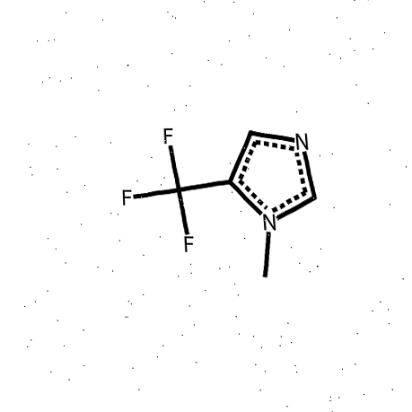 Cn1cncc1C(F)(F)F